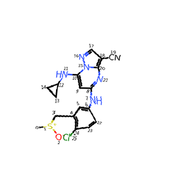 C[S@+]([O-])Cc1cc(Nc2cc(NC3CC3)n3ncc(C#N)c3n2)ccc1Cl